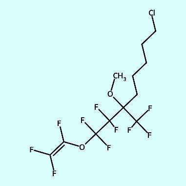 COC(CCCCCCl)(C(F)(F)F)C(F)(F)C(F)(F)OC(F)=C(F)F